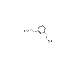 SCCc1cccc(CCS)c1